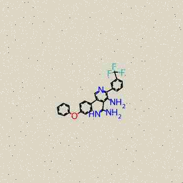 N=C(N)c1c(-c2ccc(Oc3ccccc3)cc2)cnc(-c2cccc(C(F)(F)F)c2)c1N